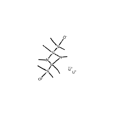 CN1[Si](C)([Si](C)(C)[O-])N(C)[Si]1(C)[Si](C)(C)[O-].[Li+].[Li+]